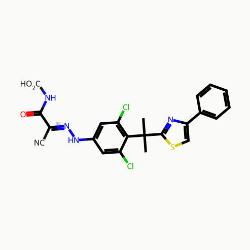 CC(C)(c1nc(-c2ccccc2)cs1)c1c(Cl)cc(N/N=C(\C#N)C(=O)NC(=O)O)cc1Cl